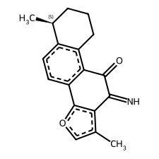 Cc1coc2c1C(=N)C(=O)c1c-2ccc2c1CCC[C@@H]2C